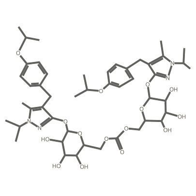 Cc1c(Cc2ccc(OC(C)C)cc2)c(OC2OC(COC(=O)OCC3OC(Oc4nn(C(C)C)c(C)c4Cc4ccc(OC(C)C)cc4)C(O)C(O)C3O)C(O)C(O)C2O)nn1C(C)C